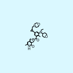 CCN(c1cc(C2CC2CN2CCOCC2)cc(C(=O)NCc2c(C)cc(C)[nH]c2=O)c1C)C1CCOCC1